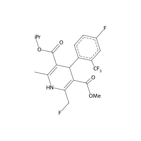 COC(=O)C1=C(CF)NC(C)=C(C(=O)OC(C)C)C1c1ccc(F)cc1C(F)(F)F